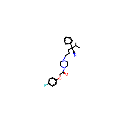 CC(C)C(C#N)(CCCN1CCN(C(=O)COc2ccc(F)cc2)CC1)c1ccccc1